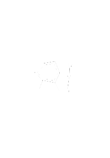 Fc1ccc[c]c1Cl.[Br][Mg][Br]